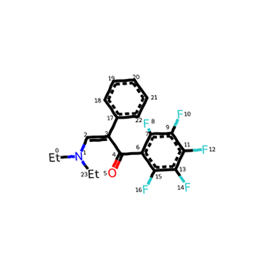 CCN(/C=C(\C(=O)c1c(F)c(F)c(F)c(F)c1F)c1ccccc1)CC